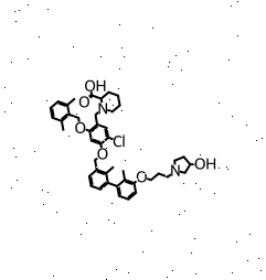 Cc1cccc(C)c1COc1cc(OCc2cccc(-c3cccc(OCCCN4CCC(O)C4)c3C)c2C)c(Cl)cc1CN1CCCCC1C(=O)O